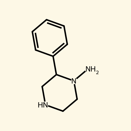 NN1CCNCC1c1ccccc1